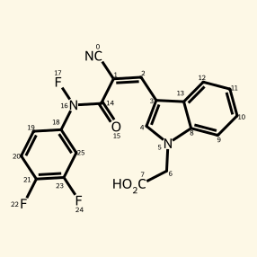 N#CC(=Cc1cn(CC(=O)O)c2ccccc12)C(=O)N(F)c1ccc(F)c(F)c1